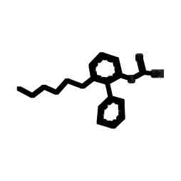 CCCCCCc1cccc(OC(=O)O)c1-c1ccccc1